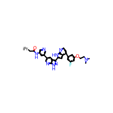 CC(C)CC(=O)Nc1cncc(-c2cnc3[nH]nc(-c4cc5c(-c6cc(F)cc(OCCN(C)C)c6)ccnc5[nH]4)c3c2)c1